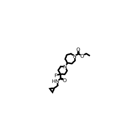 CCOC(=O)N1CCCC(N2CCC(F)(C(=O)NCC3CC3)CC2)CC1